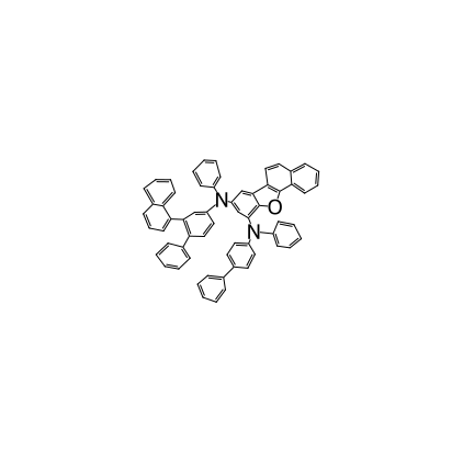 c1ccc(-c2ccc(N(c3ccccc3)c3cc(N(c4ccccc4)c4ccc(-c5ccccc5)c(-c5cccc6ccccc56)c4)cc4c3oc3c5ccccc5ccc43)cc2)cc1